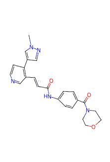 Cn1cc(-c2ccncc2/C=C/C(=O)Nc2ccc(C(=O)N3CCOCC3)cc2)cn1